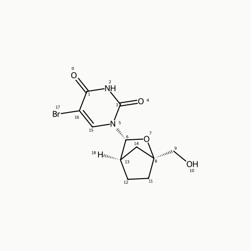 O=c1[nH]c(=O)n([C@@H]2O[C@@]3(CO)CC[C@@H]2C3)cc1Br